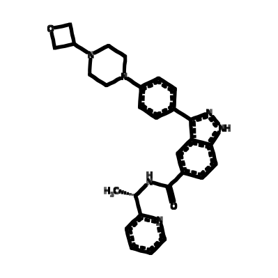 C[C@H](NC(=O)c1ccc2[nH]nc(-c3ccc(N4CCN(C5COC5)CC4)cc3)c2c1)c1ccccn1